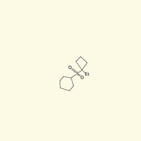 CCC1(S(=O)(=O)C2CCCCC2)CCC1